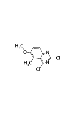 COc1ccc2nc(Cl)nc(Cl)c2c1C